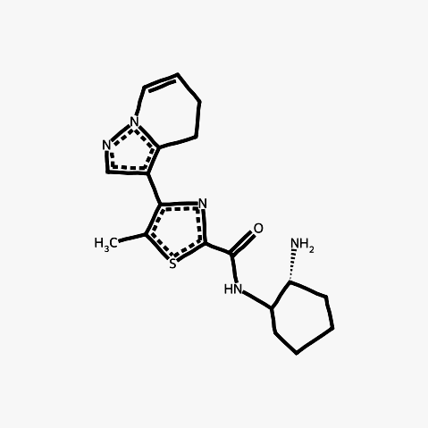 Cc1sc(C(=O)NC2CCCC[C@H]2N)nc1-c1cnn2c1CCC=C2